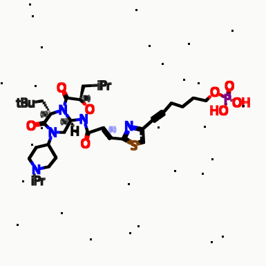 CC(C)C[C@H]1ON(C(=O)/C=C/c2nc(C#CCCCCOP(=O)(O)O)cs2)[C@H]2CN(C3CCN(C(C)C)CC3)C(=O)[C@H](CC(C)(C)C)N2C1=O